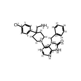 NCC1(c2ccc(Cl)cc2)CCN(c2ncnc3[nH]c(=O)n(Cc4ccccc4)c23)CC1